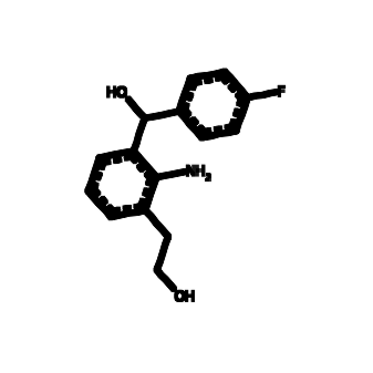 Nc1c(CCO)cccc1C(O)c1ccc(F)cc1